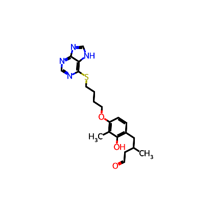 Cc1c(OCCCCSc2ncnc3nc[nH]c23)ccc(CC(C)CC=O)c1O